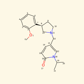 COc1ccccc1[C@H]1CCN(Cc2ccc(=O)n(C(C)C)c2)C1